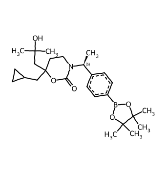 C[C@@H](c1ccc(B2OC(C)(C)C(C)(C)O2)cc1)N1CCC(CC2CC2)(CC(C)(C)O)OC1=O